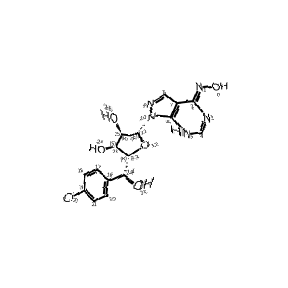 ON=c1nc[nH]c2c1cnn2[C@@H]1O[C@H](C(O)c2ccc(Cl)cc2)[C@@H](O)[C@H]1O